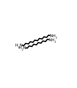 NCCCCCCCCCCCCN.NCCCCCCCCCCN